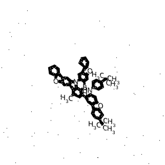 Cc1cc(-c2cc3c(cc2Nc2ccc(C(C)(C)C)cc2)oc2cc(C(C)(C)C)ccc23)c2c3c1c1cc4oc5ccccc5c4cc1n3-c1cc3c(cc1B2)oc1ccccc13